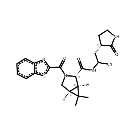 CC1(C)[C@@H]2[C@@H](C(=O)NC(C#N)C[C@@H]3CCNC3=O)N(C(=O)c3nc4ccccc4s3)C[C@@H]21